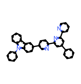 c1ccc(-c2cc(-c3ccccn3)nc(-c3ccc(-c4ccc5c(c4)c4ccccc4n5-c4ccccc4)cn3)c2)cc1